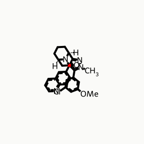 COc1cc(Cl)cc(-c2c3c(nn2C)[C@@H]2CCC[C@H](C3)N2C(=O)c2ccc3ncccc3c2)c1